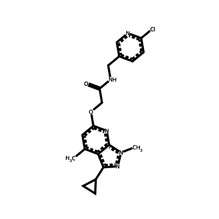 Cc1cc(OCC(=O)NCc2ccc(Cl)nc2)nc2c1c(C1CC1)nn2C